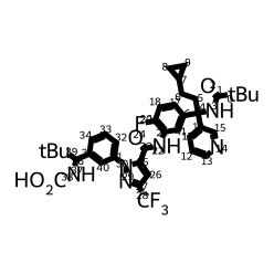 CC(C)(C)C(=O)NC(CCC1CC1)(c1cccnc1)c1ccc(F)c(NC(=O)c2cc(C(F)(F)F)nn2-c2cccc(C(NC(=O)O)C(C)(C)C)c2)c1